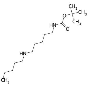 CCCCCNCCCCCNC(=O)OC(C)(C)C